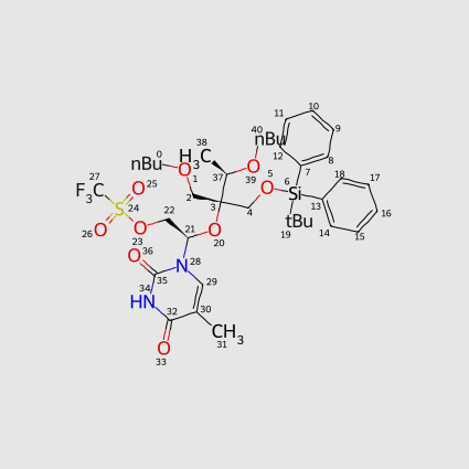 CCCCOC[C@@](CO[Si](c1ccccc1)(c1ccccc1)C(C)(C)C)(O[C@H](COS(=O)(=O)C(F)(F)F)n1cc(C)c(=O)[nH]c1=O)[C@@H](C)OCCCC